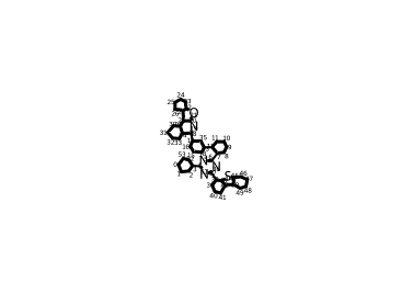 c1ccc(-c2nc(-c3ccccc3-c3cccc(-c4nc5oc6ccccc6c5c5ccccc45)c3)nc(-c3cccc4c3sc3ccccc34)n2)cc1